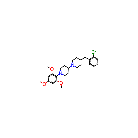 COc1cc(OC)c(N2CCC(N3CCC(Cc4ccccc4Br)CC3)CC2)c(OC)c1